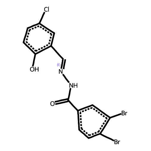 O=C(N/N=C/c1cc(Cl)ccc1O)c1ccc(Br)c(Br)c1